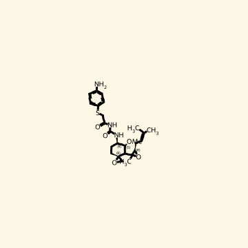 CO[C@H]1C(C2(C)O[C@@H]2CC=C(C)C)[C@]2(CC[C@H]1NC(=O)NC(=O)CSc1ccc(N)cc1)CO2